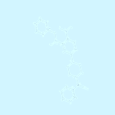 CN(C)c1ccc(N2CCN(C(=O)c3ccccc3)CC2)cc1N(C)Cc1ccccc1